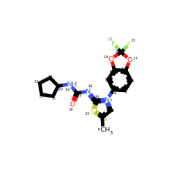 Cc1cn(-c2ccc3c(c2)OC(F)(F)O3)/c(=N/C(=O)NC2CCCC2)s1